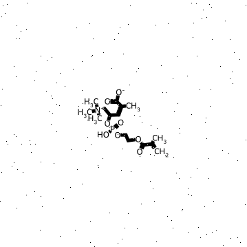 C=C(C)C(=O)OCCOP(=O)(O)OC(C=C(C)C(=O)[O-])C[N+](C)(C)C